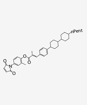 CCCCCC1CCC(C2CCC(c3ccc(/C=C(\C)C(=O)Oc4ccc(N5C(=O)C=CC5=O)cc4C)cc3)CC2)CC1